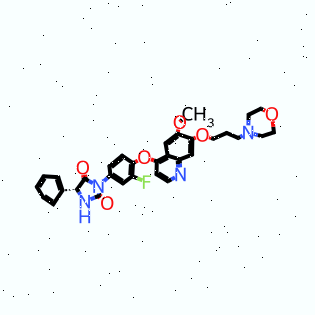 COc1cc2c(Oc3ccc(N4C(=O)N[C@H](c5ccccc5)C4=O)cc3F)ccnc2cc1OCCCN1CCOCC1